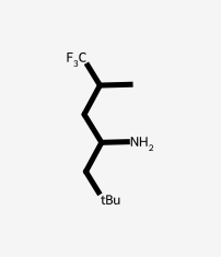 CC(CC(N)CC(C)(C)C)C(F)(F)F